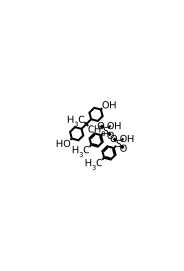 CC(C)(C1CCC(O)CC1)C1CCC(O)CC1.Cc1ccc(S(=O)(=O)O)cc1.Cc1ccc(S(=O)(=O)O)cc1